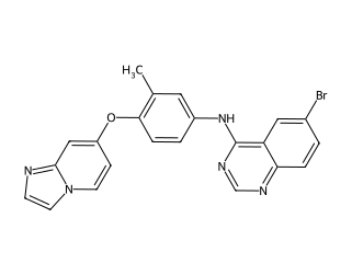 Cc1cc(Nc2ncnc3ccc(Br)cc23)ccc1Oc1ccn2ccnc2c1